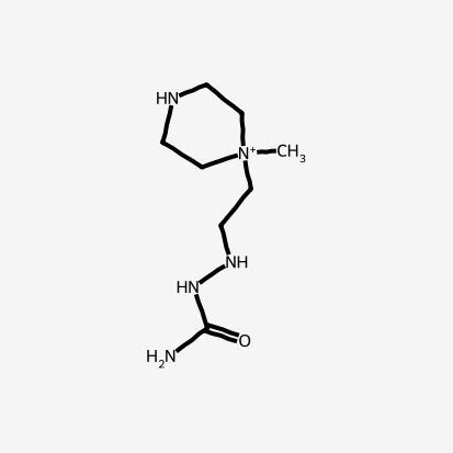 C[N+]1(CCNNC(N)=O)CCNCC1